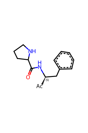 CC(=O)[C@H](Cc1ccccc1)NC(=O)C1CCCN1